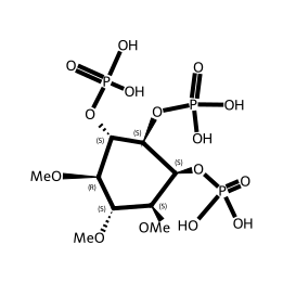 CO[C@@H]1[C@@H](OC)[C@H](OP(=O)(O)O)[C@@H](OP(=O)(O)O)[C@@H](OP(=O)(O)O)[C@H]1OC